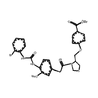 COC(=O)c1ccc(OCC2CSCN2C(=O)Cc2ccc(NC(=O)Nc3ccccc3Br)c(OC)c2)cc1